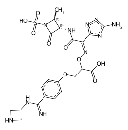 C[C@H]1[C@H](NC(=O)C(=NOC(COc2ccc(C(=N)NC3CNC3)cc2)C(=O)O)c2nsc(N)n2)C(=O)N1S(=O)(=O)O